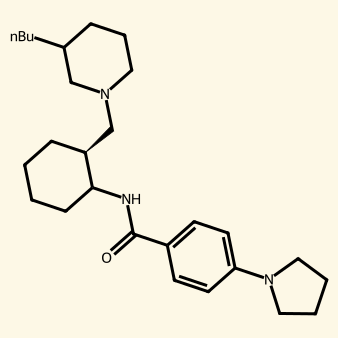 CCCCC1CCCN(C[C@@H]2CCCCC2NC(=O)c2ccc(N3CCCC3)cc2)C1